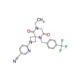 CCN1CC(=O)N(Cc2ccc(C(F)(F)F)cc2)C2(CN(c3ccc(C#N)cn3)C2)C1=O